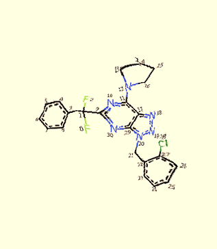 FC(F)(c1ccccc1)c1nc(N2C[CH]CC2)c2nnn(Cc3ccccc3Cl)c2n1